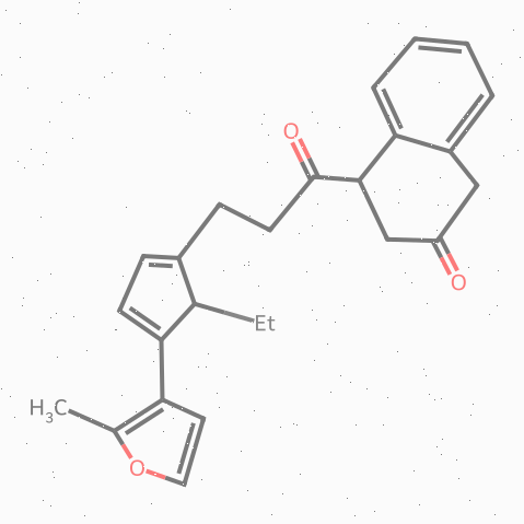 CCC1C(CCC(=O)C2CC(=O)Cc3ccccc32)=CC=C1c1ccoc1C